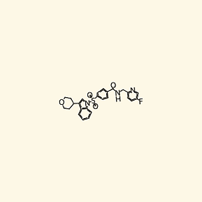 O=C(NCc1ccc(F)cn1)c1ccc(S(=O)(=O)n2cc(C3CCOCC3)c3ccccc32)cc1